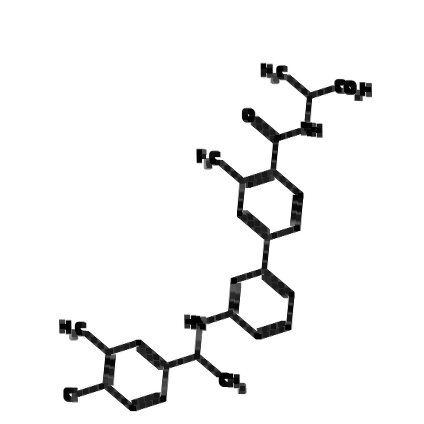 Cc1cc(C(C)Nc2cccc(-c3ccc(C(=O)NC(C)C(=O)O)c(C(F)(F)F)c3)c2)ccc1Cl